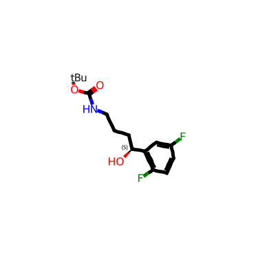 CC(C)(C)OC(=O)NCCC[C@H](O)c1cc(F)ccc1F